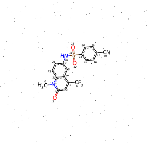 Cn1c(=O)cc(C(F)(F)F)c2cc(NS(=O)(=O)c3ccc(C#N)cc3)ccc21